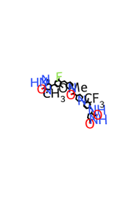 COc1cc(-c2cn(C)c(=O)c3[nH]ncc23)cc(F)c1CC1CCN(CC(=O)C2CCN(c3ccc(NC4CCC(=O)NC4=O)cc3C(F)(F)F)CC2)CC1